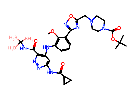 BC(B)(B)NC(=O)c1nnc(NC(=O)C2CC2)cc1Nc1cccc(-c2noc(CN3CCN(C(=O)OC(C)(C)C)CC3)n2)c1OC